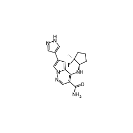 C[C@]1(F)CCC[C@H]1Nc1c(C(N)=O)cnn2cc(-c3cn[nH]c3)cc12